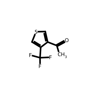 CC(=O)c1cscc1C(F)(F)F